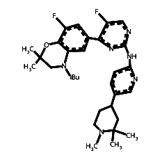 CCC(C)N1CC(C)(C)Oc2c(F)cc(-c3nc(Nc4ccc(C5CCN(C)C(C)(C)C5)cn4)ncc3F)cc21